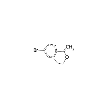 C=C1OCCc2cc(Br)ccc21